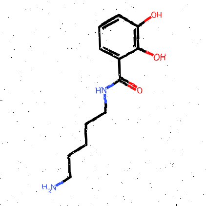 NCCCCCNC(=O)c1cccc(O)c1O